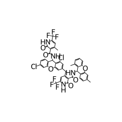 Cc1ccc2c(c1)Oc1cccc(C)c1C2NC(=O)c1c(Cc2cc(Cl)c3c(c2)Oc2cc(Cl)ccc2C3NC(=O)c2c(C)cc(C(F)(F)F)[nH]c2=O)cc(C(F)(F)F)[nH]c1=O